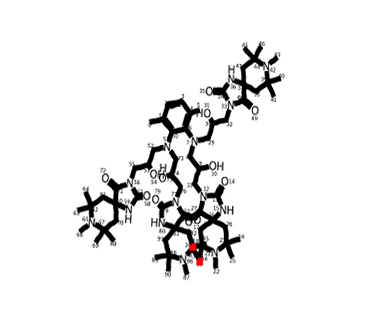 Cc1ccc(C)c(N(CC(O)CN2C(=O)NC3(CC(C)(C)N(C)C(C)(C)C3)C2=O)CC(O)CN2C(=O)NC3(CC(C)(C)N(C)C(C)(C)C3)C2=O)c1N(CC(O)CN1C(=O)NC2(CC(C)(C)N(C)C(C)(C)C2)C1=O)CC(O)CN1C(=O)NC2(CC(C)(C)N(C)C(C)(C)C2)C1=O